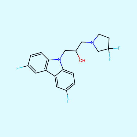 OC(CN1CCC(F)(F)C1)Cn1c2ccc(F)cc2c2cc(F)ccc21